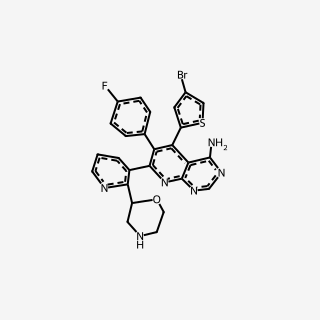 Nc1ncnc2nc(-c3cccnc3C3CNCCO3)c(-c3ccc(F)cc3)c(-c3cc(Br)cs3)c12